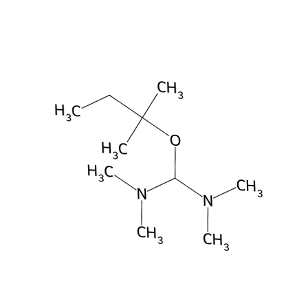 CCC(C)(C)OC(N(C)C)N(C)C